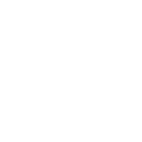 C=C/C=C\C1=C(c2cccc3c2Oc2ccccc2C3(C)C)C2(c3ccccc31)c1ccccc1-c1ccccc12